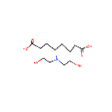 O=C(O)CCCCCCC(=O)O.OCCNCCO